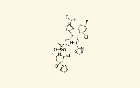 CCC1C[C@](O)(c2nccs2)C[C@H](C)N1S(=O)(=O)N(C)[C@H]1CC2=C(c3ccn(C(F)F)n3)[C@H](c3ccc(F)cc3Cl)N=C(c3nccs3)N2C1